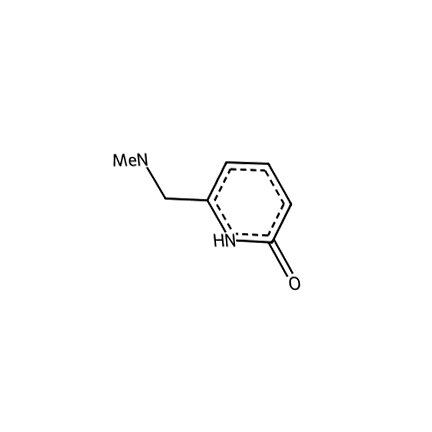 CNCc1cccc(=O)[nH]1